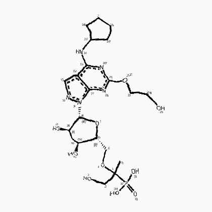 CC(CO)(OC[C@H]1O[C@@H](n2ncc3c(NC4CCCC4)nc(OCCO)nc32)[C@H](O)[C@@H]1O)P(=O)(O)O